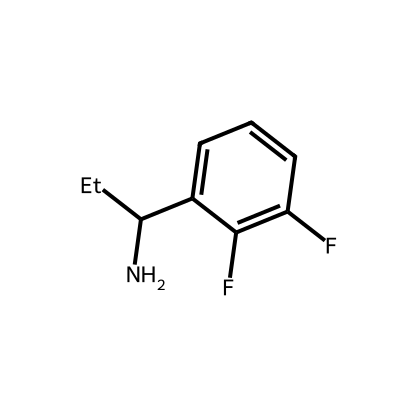 CCC(N)c1cccc(F)c1F